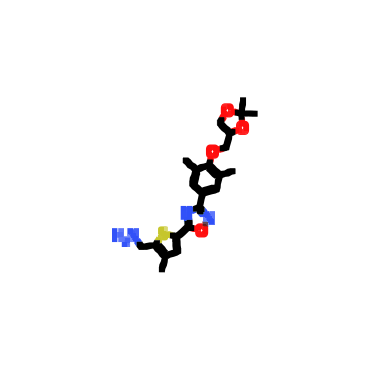 Cc1cc(-c2nc(-c3cc(C)c(OCC4COC(C)(C)O4)c(C)c3)no2)sc1CN